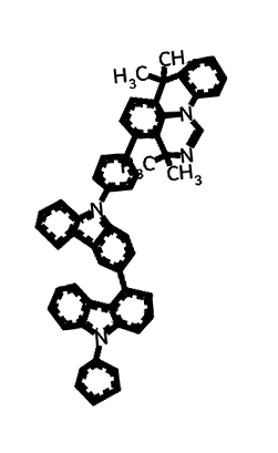 CC1(C)N=CN2c3ccccc3C(C)(C)c3ccc(-c4ccc(-n5c6ccccc6c6cc(-c7cccc8c7c7ccccc7n8-c7ccccc7)ccc65)cc4)c1c32